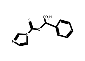 O=C(O)C(OC(=S)n1ccnc1)c1ccccc1